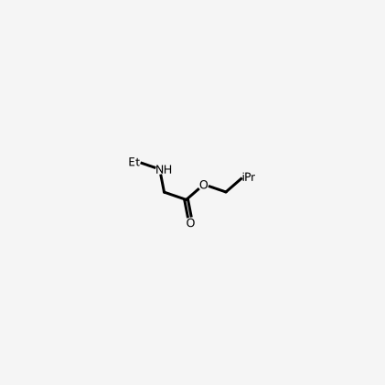 CCNCC(=O)OCC(C)C